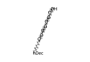 CCCCCCCCCCCCCCCCCCOCCOCCOCCOCCOCCOCCOCCO